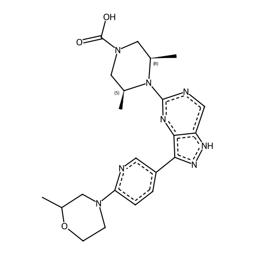 CC1CN(c2ccc(-c3n[nH]c4cnc(N5[C@H](C)CN(C(=O)O)C[C@@H]5C)nc34)cn2)CCO1